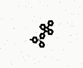 Cc1ccc(N(c2ccccc2)c2ccc(-c3c4ccccc4c(-c4ccccc4)c4ccccc34)cc2)cc1